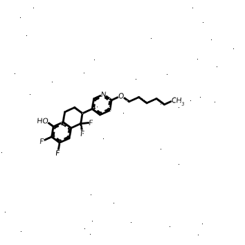 CCCCCCOc1ccc(C2CCc3c(cc(F)c(F)c3O)C2(F)F)cn1